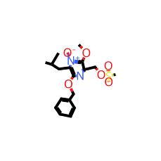 COc1c(COS(C)(=O)=O)nc(OCc2ccccc2)c(CC(C)C)[n+]1[O-]